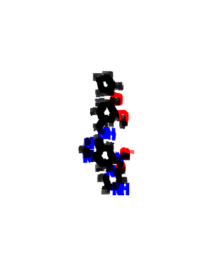 COc1cc(CNc2ncnc3cc(N4CCNCC4)c([N+](=O)[O-])cc23)ccc1OC1CCCC1